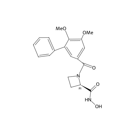 COc1cc(C(=O)N2CC[C@@H]2C(=O)NO)cc(-c2ccccc2)c1OC